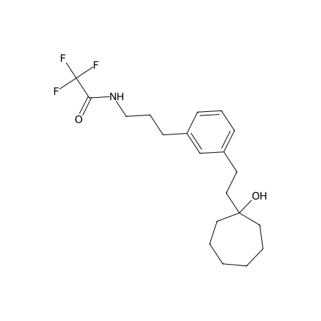 O=C(NCCCc1cccc(CCC2(O)CCCCCC2)c1)C(F)(F)F